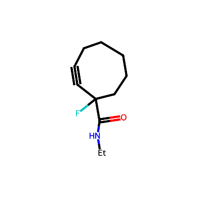 CCNC(=O)C1(F)C#CCCCCC1